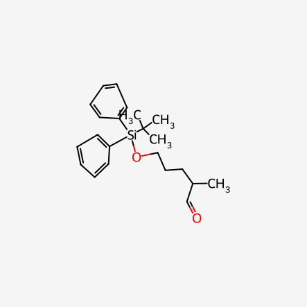 CC(C=O)CCCO[Si](c1ccccc1)(c1ccccc1)C(C)(C)C